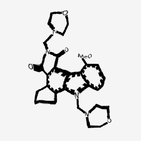 COc1cccc2c1c1c3c(c4c(c1n2CN1CCOCC1)CCC4)C(=O)N(CN1CCOCC1)C3=O